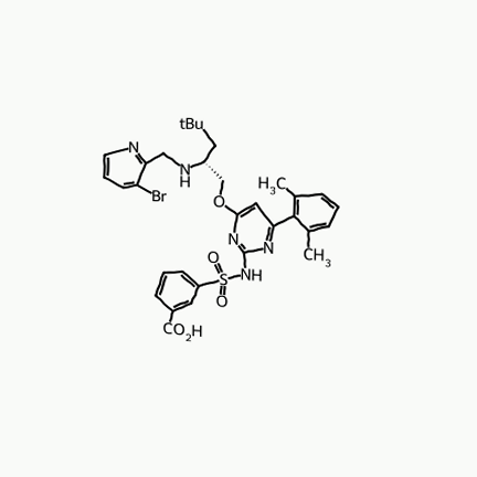 Cc1cccc(C)c1-c1cc(OC[C@@H](CC(C)(C)C)NCc2ncccc2Br)nc(NS(=O)(=O)c2cccc(C(=O)O)c2)n1